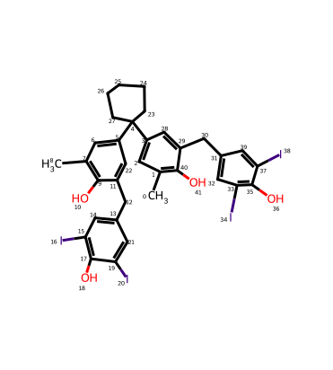 Cc1cc(C2(c3cc(C)c(O)c(Cc4cc(I)c(O)c(I)c4)c3)CCCCC2)cc(Cc2cc(I)c(O)c(I)c2)c1O